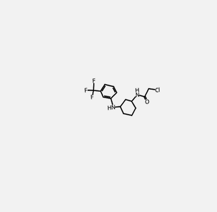 O=C(CCl)NC1CCCC(Nc2cccc(C(F)(F)F)c2)C1